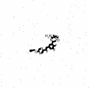 C#CCOc1cnc(/C(F)=C/c2cc(F)c(F)c(C3CS(=O)(=O)C(C)(C)C(N)=N3)c2)cn1